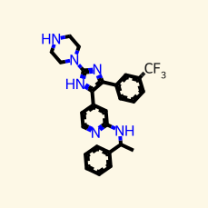 CC(Nc1cc(-c2[nH]c(N3CCNCC3)nc2-c2cccc(C(F)(F)F)c2)ccn1)c1ccccc1